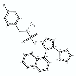 C[C@@H](Cc1ncc(F)cn1)S(=O)(=O)Nc1nnc(-c2ccco2)n1-c1cccc2ccccc12